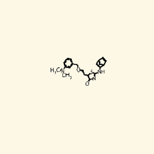 CN(C)c1cccc(COCCC2SC(NC3CC4C=CC3C4)=NC2=O)c1